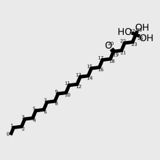 CCCCCCCCCCCCCCCCCCCC(=O)CCCC(O)(O)O